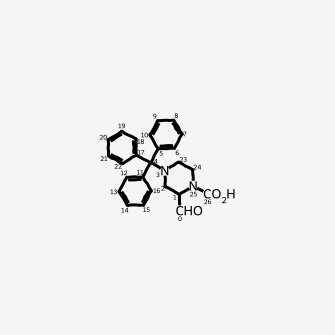 O=CC1CN(C(c2ccccc2)(c2ccccc2)c2ccccc2)CCN1C(=O)O